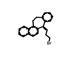 BrCCC=C1c2ccccc2CCc2c1ccc1ccccc21